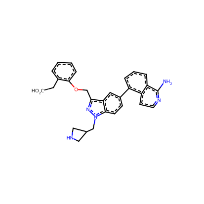 Nc1nccc2c(-c3ccc4c(c3)c(COc3ccccc3CC(=O)O)nn4CC3CNC3)cccc12